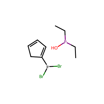 CCP(O)CC.[Br][Ir]([Br])[C]1=CC=CC1